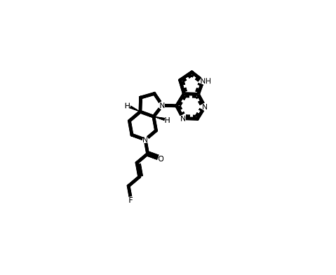 O=C(C=CCF)N1CC[C@@H]2CCN(c3ncnc4[nH]ccc34)[C@@H]2C1